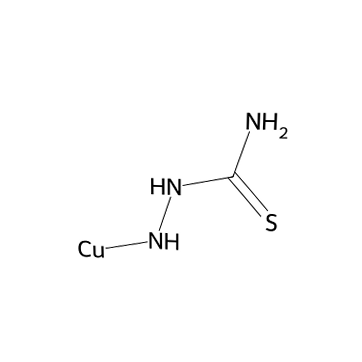 NC(=S)N[NH][Cu]